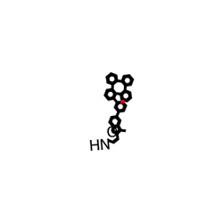 Cc1c(/C=C\C=N)oc2ccc(-c3cccc(-c4cccc5c4-c4ccccc4-c4ccccc4-c4ccccc4-5)c3)cc12